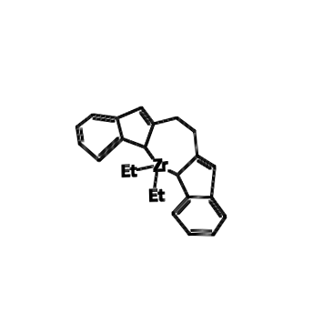 C[CH2][Zr]1([CH2]C)[CH]2C(=Cc3ccccc32)CCC2=Cc3ccccc3[CH]21